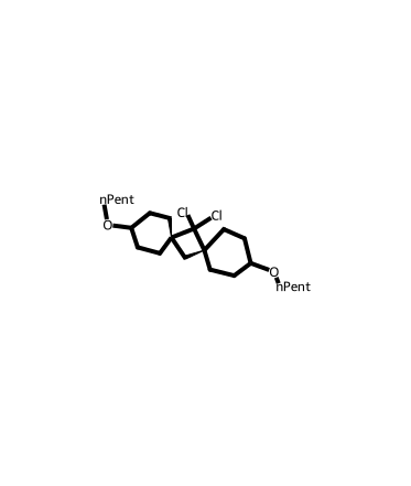 CCCCCOC1CC[C@]2(CC1)C[C@@]1(CCC(OCCCCC)CC1)C2(Cl)Cl